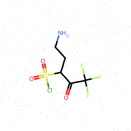 NCCC(C(=O)C(F)(F)F)S(=O)(=O)Cl